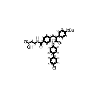 CC(C)(C)c1ccc(C(Cc2ccc(C(=O)NCCS(=O)O)cc2)C(=O)Nc2ccc(-c3ccc(Cl)cc3)cc2)cc1